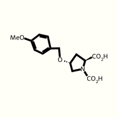 COc1ccc(CO[C@@H]2C[C@@H](C(=O)O)N(C(=O)O)C2)cc1